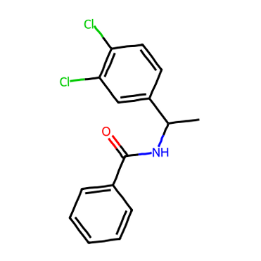 CC(NC(=O)c1ccccc1)c1ccc(Cl)c(Cl)c1